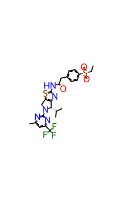 CCS(=O)(=O)c1ccc(CC(=O)Nc2nc3c(s2)CN(c2nc(C)cc(C(F)(F)F)n2)[C@H]3C(C)C)cc1